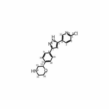 Clc1ccc(-c2cc(-c3ccc([C@@H]4CNCCO4)cc3)n[nH]2)cn1